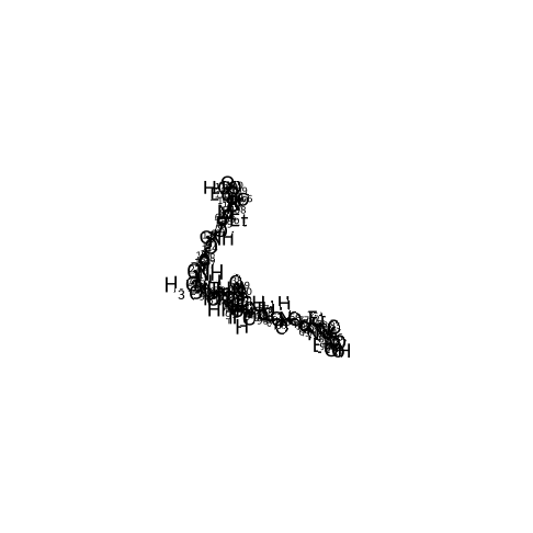 CCc1c2c(nc3ccc(OCNC(=O)OCc4ccc(NC(=O)[C@H](C)NC(=O)[C@@H](NC(=O)CN(CCN5C(=O)C=CC5=O)CC(=O)N[C@H](C(=O)N[C@@H](C)C(=O)Nc5ccc(COC(=O)NCOc6ccc7nc8c(c(CC)c7c6)Cn6c-8cc7c(c6=O)COC(=O)[C@]7(O)CC)cc5)C(C)C)C(C)C)cc4)cc13)-c1cc3c(c(=O)n1C2)COC(=O)[C@]3(O)CC